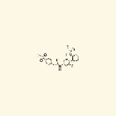 C=CC(=O)Nc1ccccc1-c1ccc(NC(=O)Cc2ccc(S(=O)(=O)CC)cc2)cc1F